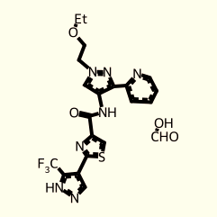 CCOCCn1cc(NC(=O)c2csc(-c3cn[nH]c3C(F)(F)F)n2)c(-c2ccccn2)n1.O=CO